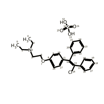 CCN(CC)CCOc1ccc(/C(=C(\Cl)c2ccccc2)c2ccccc2)cc1.O=S(=O)(O)O